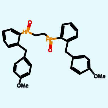 COc1ccc(Cc2ccccc2[PH](=O)CC[PH](=O)c2ccccc2Cc2ccc(OC)cc2)cc1